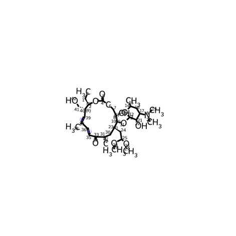 CC[C@H]1OC(=O)CC[C@H](C)[C@@H](OC2OC(C)CC(N(C)C)C2O)[C@@H](CC(OC)OC)C[C@@H](C)C(=O)/C=C/C(C)=C/[C@@H]1CO